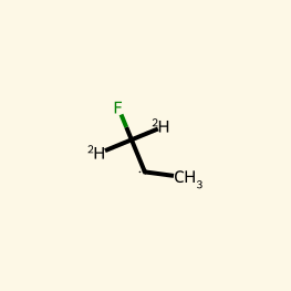 [2H]C([2H])(F)[CH]C